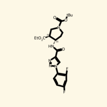 CCOC(=O)[C@H]1CN(C(=O)OC(C)(C)C)CC[C@@H]1NC(=O)c1cn(-c2ccc(F)cc2F)nn1